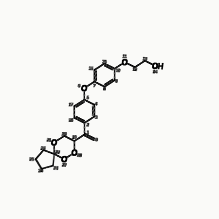 C=C(c1ccc(Oc2ccc(OCCO)cc2)cc1)C1COC2(CCCC2)OO1